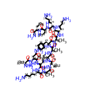 CC[C@H](C)[C@H](N)C(=O)N[C@@H](CC(N)=O)C(=O)N[C@@H](CC(C)C)C(=O)N[C@@H](CCCCN)C(=O)N[C@@H](C)C(=O)N[C@H](C(=O)N[C@@H](C)C(=O)N[C@@H](C)C(=O)N[C@@H](Cc1ccccc1)C(=O)N[C@@H](C)C(=O)N[C@@H](CCCCN)C(=O)N[C@@H](CCCCN)C(=O)N[C@@H](CC(C)C)C(=O)N[C@@H](CC(C)C)C(N)=O)[C@@H](C)CC